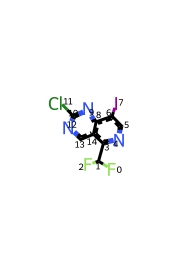 FC(F)c1ncc(I)c2nc(Cl)ncc12